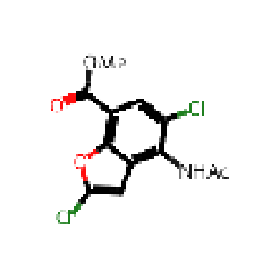 COC(=O)c1cc(Cl)c(NC(C)=O)c2cc(Cl)oc12